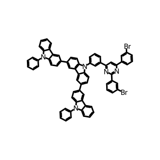 Brc1cccc(-c2cc(-c3cccc(-n4c5ccc(-c6ccc7c(c6)c6ccccc6n7-c6ccccc6)cc5c5cc(-c6ccc7c(c6)c6ccccc6n7-c6ccccc6)ccc54)c3)nc(-c3cccc(Br)c3)n2)c1